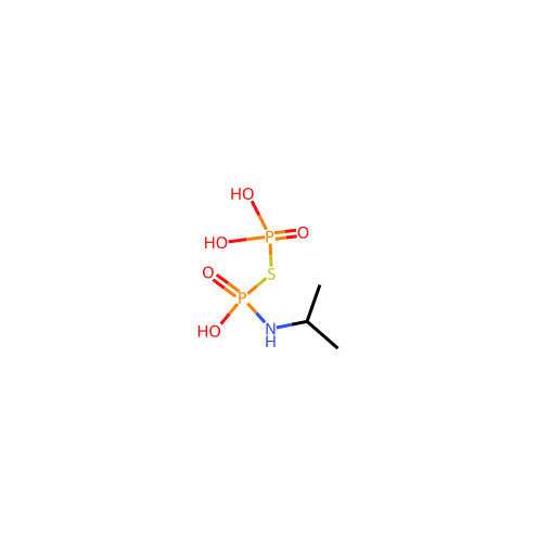 CC(C)NP(=O)(O)SP(=O)(O)O